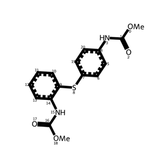 COC(=O)Nc1ccc(Sc2ccccc2NC(=O)OC)cc1